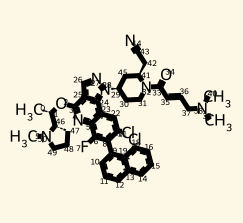 C[C@H](Oc1nc2c(F)c(-c3cccc4cccc(Cl)c34)c(Cl)cc2c2c1cnn2[C@H]1CCN(C(=O)/C=C/CN(C)C)[C@H](CC#N)C1)[C@@H]1CCCN1C